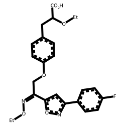 CCO/N=C(/COc1ccc(CC(OCC)C(=O)O)cc1)c1cc(-c2ccc(F)cc2)no1